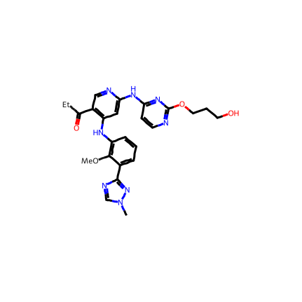 CCC(=O)c1cnc(Nc2ccnc(OCCCO)n2)cc1Nc1cccc(-c2ncn(C)n2)c1OC